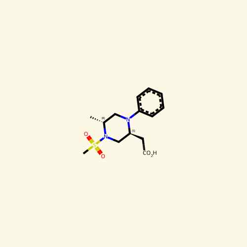 C[C@@H]1CN(c2ccccc2)[C@@H](CC(=O)O)CN1S(C)(=O)=O